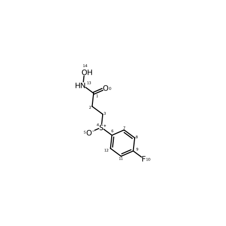 O=C(CC[S+]([O-])c1ccc(F)cc1)NO